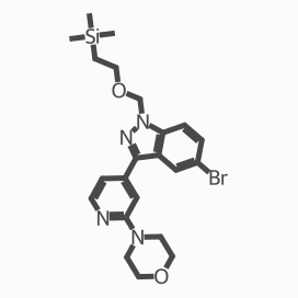 C[Si](C)(C)CCOCn1nc(-c2ccnc(N3CCOCC3)c2)c2cc(Br)ccc21